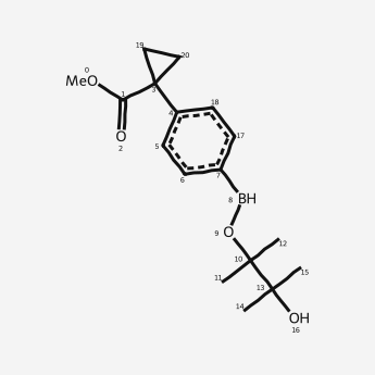 COC(=O)C1(c2ccc(BOC(C)(C)C(C)(C)O)cc2)CC1